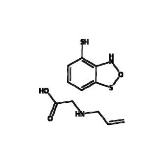 C=CCNCC(=O)O.Sc1cccc2c1NOS2